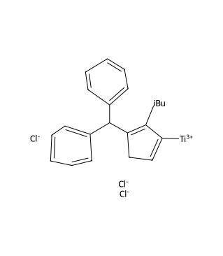 CCC(C)C1=C(C(c2ccccc2)c2ccccc2)CC=[C]1[Ti+3].[Cl-].[Cl-].[Cl-]